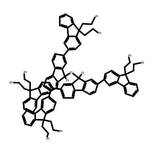 CCC1(OC2(CC)c3cc(-c4ccc5c(c4)-c4ccccc4C5(CCC(C)C)CCC(C)C)ccc3-c3ccc(-c4ccc5c(c4)-c4ccccc4C5(CCC(C)C)CCC(C)C)cc32)c2cc(-c3ccc4c(c3)-c3ccccc3C4(CCC(C)C)CCC(C)C)ccc2-c2ccc(-c3ccc4c(c3)-c3ccccc3C4(CCC(C)C)CCC(C)C)cc21